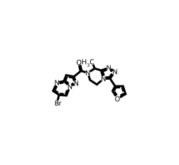 CC1c2nnc(-c3ccoc3)n2CCN1C(=O)c1cc2ncc(Br)cn2n1